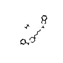 Nc1cccc(C(=O)N2CCC(O)(CCCCNC(=O)N3Cc4ccccc4C3)CC2)c1.O=C(O)C(F)(F)F